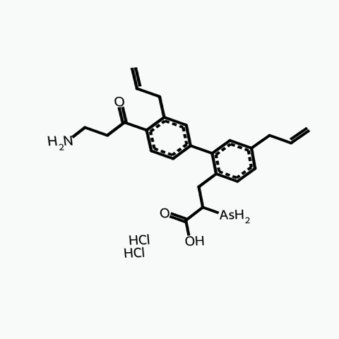 C=CCc1ccc(CC([AsH2])C(=O)O)c(-c2ccc(C(=O)CCN)c(CC=C)c2)c1.Cl.Cl